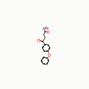 CCCC(=O)CCC(=O)c1ccc(Oc2ccccc2)cc1